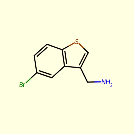 NCc1csc2ccc(Br)cc12